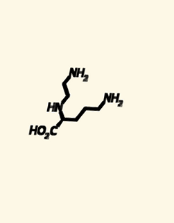 NCCC[C@H](NCCN)C(=O)O